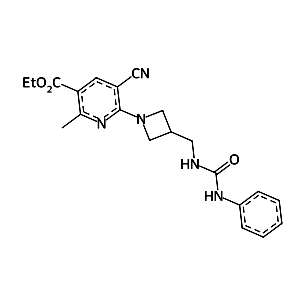 CCOC(=O)c1cc(C#N)c(N2CC(CNC(=O)Nc3ccccc3)C2)nc1C